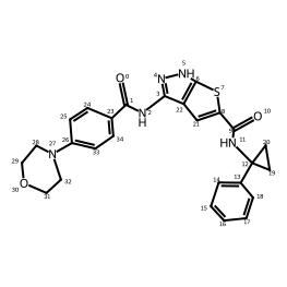 O=C(Nc1n[nH]c2sc(C(=O)NC3(c4ccccc4)CC3)cc12)c1ccc(N2CCOCC2)cc1